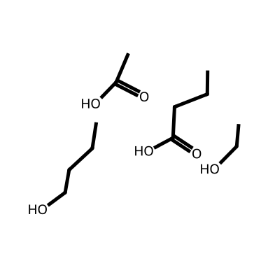 CC(=O)O.CCCC(=O)O.CCCCO.CCO